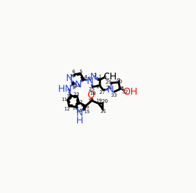 CC1=NN(c2ccnc(Nc3ccc4[nH]cc(C(=O)C5CC5)c4c3)n2)CC1CN1CC[C@@H](O)C1